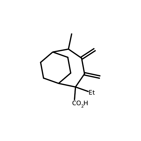 C=C1C(=C)C(CC)(C(=O)O)C2CCC(CC2)C1C